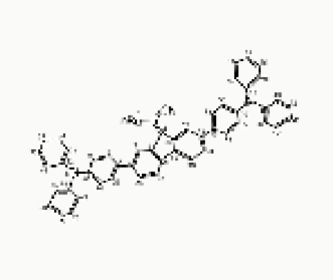 CCCC/C(C#N)=C1\c2cc(-c3ccc(N(C4=CCCC=C4)c4ccccc4)cc3)ccc2-c2ccc(-c3ccc(N(c4ccccc4)c4ccccc4)cc3)cc21